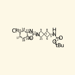 CC(C)(C)OC(=O)NC1CC2(C1)CN(c1nc3cc(Cl)ccc3o1)C2